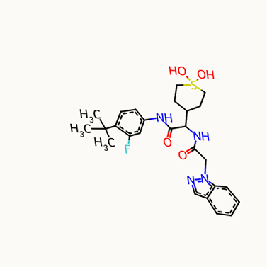 CC(C)(C)c1ccc(NC(=O)C(NC(=O)Cn2ncc3ccccc32)C2CCS(O)(O)CC2)cc1F